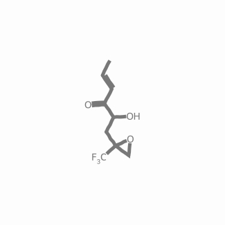 CC=CC(=O)C(O)CC1(C(F)(F)F)CO1